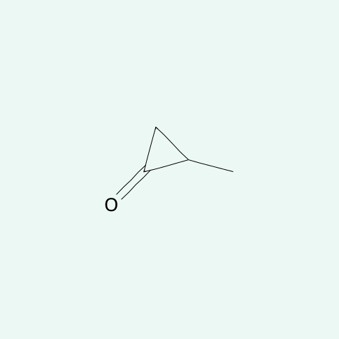 CC1CC1=O